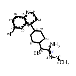 C=N/N=C(\N)C(CC)C1CCC(c2ccnc3ccc(F)cc23)CC1